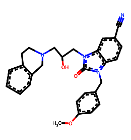 COc1ccc(Cn2c(=O)n(CC(O)CN3CCc4ccccc4C3)c3cc(C#N)ccc32)cc1